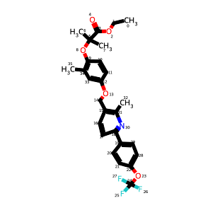 CCOC(=O)C(C)(C)Oc1ccc(OCc2ccc(-c3ccc(OC(F)(F)F)cc3)nc2C)cc1C